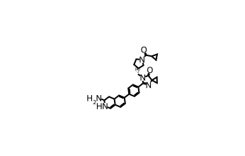 NC1CC2C=C(c3ccc(C4=NC5(CC5)C(=O)N4C[C@@H]4CCN(C(=O)C5CC5)C4)cc3)C=CC2=CN1